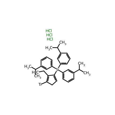 CCC1=[C]([Ti])CC=C1[Si](c1cccc(C(C)C)c1)(c1cccc(C(C)C)c1)c1cccc(C(C)C)c1.Cl.Cl.Cl